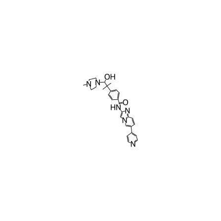 CN1CCN(C(O)C(C)(C)c2ccc(C(=O)Nc3cn4cc(-c5ccncc5)ccc4n3)cc2)CC1